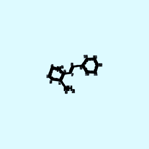 Nc1cccnc1C=Cc1ccccc1